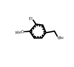 CCc1cc(CC(C)(C)C)ccc1OC